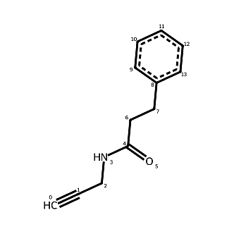 C#CCNC(=O)CCc1ccccc1